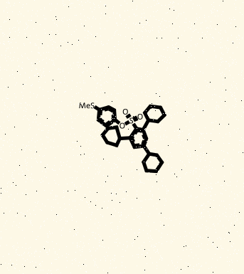 CSc1ccc(OS(=O)(=O)c2c(C3CCCCC3)cc(C3CCCCC3)cc2C2CCCCC2)cc1